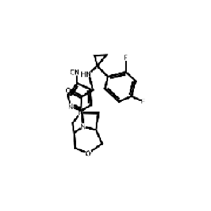 N#Cc1ccc(N2C3COCC2CN(C(=O)CNC2(c4ccc(F)cc4F)CC2)C3)nc1